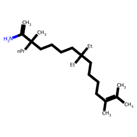 C=C(N)C(C)(CCC)CCCCC(CC)(CC)CCCCC(C)=C(C)C